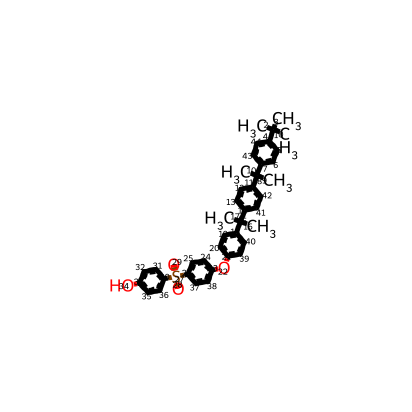 CC(C)(C)c1ccc(C(C)(C)c2ccc(C(C)(C)c3ccc(Oc4ccc(S(=O)(=O)c5ccc(O)cc5)cc4)cc3)cc2)cc1